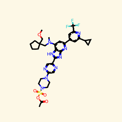 COCC1(CN(C)c2cc(-c3cc(C4CC4)nc(C(F)(F)F)c3)nc3nc(-c4cnc(N5CCN(S(=O)(=O)OC(C)=O)CC5)cn4)[nH]c23)CCCC1